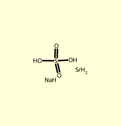 O=S(=O)(O)O.[NaH].[SrH2]